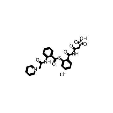 O=C(CS(=O)(=O)O)NC(=O)c1ccccc1SC(=O)c1ccccc1NC(=O)C[n+]1ccccc1.[Cl-]